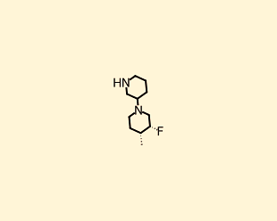 C[C@@H]1CCN(C2CCCNC2)C[C@@H]1F